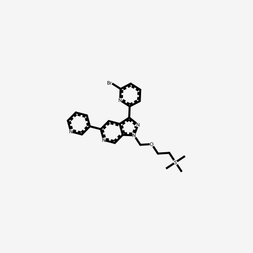 CS(C)(C)CCOCn1nc(-c2cccc(Br)n2)c2cc(-c3cccnc3)ncc21